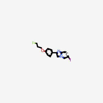 FCCCOc1ccc(-c2cn3cc(I)ccc3n2)cc1